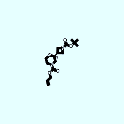 C=CCOC(=O)N1CCS[C@@H](C2CN(C(=O)OC(C)(C)C)C2)C1